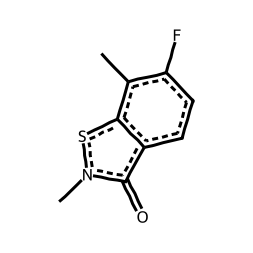 Cc1c(F)ccc2c(=O)n(C)sc12